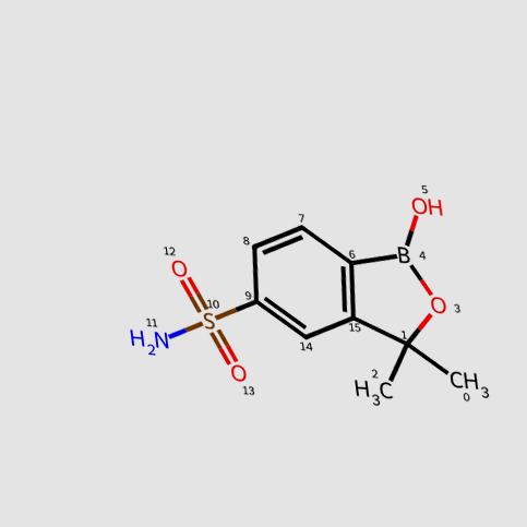 CC1(C)OB(O)c2ccc(S(N)(=O)=O)cc21